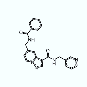 O=C(NCc1ccn2ncc(C(=O)NCc3cccnc3)c2c1)c1ccccc1